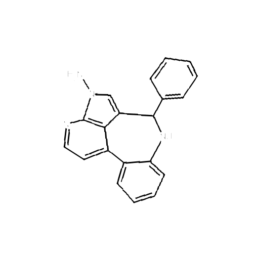 Nn1cc2c3c(ccnc31)-c1ccccc1NC2c1ccccc1